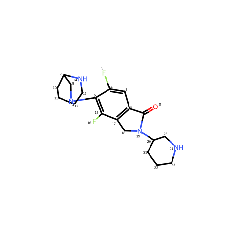 O=C1c2cc(F)c(N3CC4CCC3CN4)c(F)c2CN1C1CCCNC1